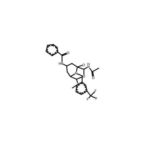 COC1OC(NC(C)=O)C2(Cl)CC(NC(=O)c3ccccc3)CC1N2Cc1cccc(C(F)(F)F)c1